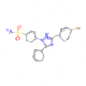 NS(=O)(=O)c1ccc(-n2nc(-c3ccc(Br)cc3)nc2-c2ccccc2)cc1